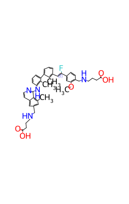 COc1cc(/C(F)=C/c2cccc(-c3cccc(Nc4nccc5cc(CNCCCC(=O)O)cc(C)c45)c3C)c2C)ccc1CNCCCC(=O)O